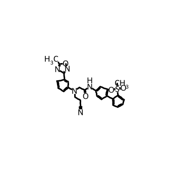 Cc1nc(-c2cccc(N(CCC#N)CC(=O)Nc3ccc(-c4ccccc4S(C)(=O)=O)cc3)c2)no1